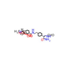 CN1CCC23CC(=O)CC[C@@]2(O)[C@H]1Cc1ccc(C(=O)NCCc2ccc(/C(=C/NC=O)C(N)=O)cc2)c(O)c13